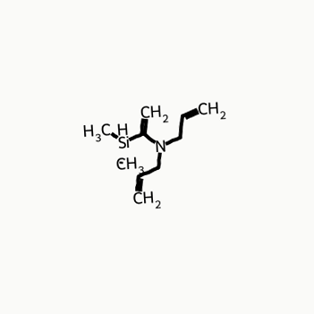 C=CCN(CC=C)C(=C)[SiH](C)C